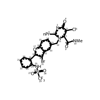 CCCc1nc(=O)c(Cl)c(C(=O)NC)n1Cc1ccc2oc(-c3ccccc3NS(=O)(=O)C(F)(F)F)c(Br)c2c1